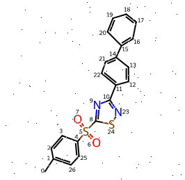 Cc1ccc(S(=O)(=O)c2nc(-c3ccc(-c4ccccc4)cc3)ns2)cc1